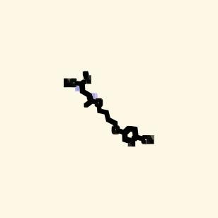 C=N/C(C#N)=C\C=C(/C)OCCCCOc1ccc(C#N)nc1